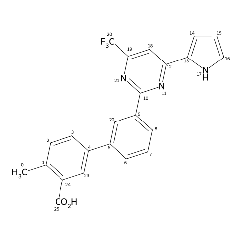 Cc1ccc(-c2cccc(-c3nc(-c4ccc[nH]4)cc(C(F)(F)F)n3)c2)cc1C(=O)O